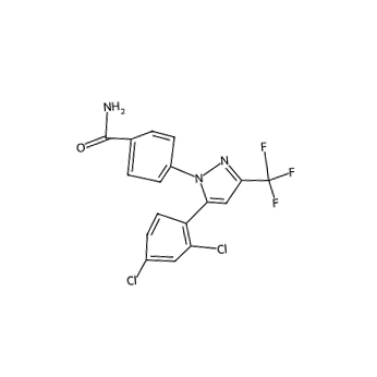 NC(=O)c1ccc(-n2nc(C(F)(F)F)cc2-c2ccc(Cl)cc2Cl)cc1